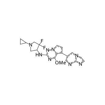 COc1nc(NC2CN(C3CC3)CC2(F)F)nn2ccc(-c3cnc4nccn4c3)c12